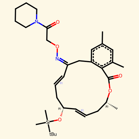 Cc1cc(C)c2c(c1)CC(=NOCC(=O)N1CCCCC1)/C=C/C[C@@H](O[Si](C)(C)C(C)(C)C)/C=C/C[C@@H](C)OC2=O